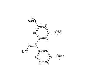 COc1cccc(/C(=C\C#N)c2cc(OC)cc(OC)c2)c1